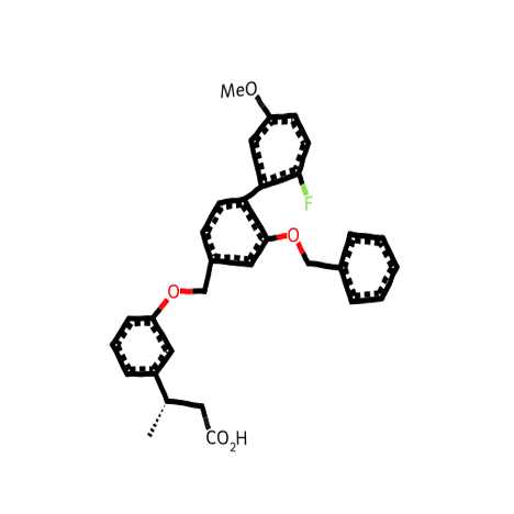 COc1ccc(F)c(-c2ccc(COc3cccc([C@@H](C)CC(=O)O)c3)cc2OCc2ccccc2)c1